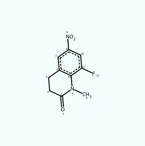 CN1C(=O)CCc2cc([N+](=O)[O-])cc(F)c21